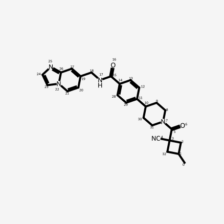 CC1CC(C#N)(C(=O)N2CCC(c3ccc(C(=O)NCc4ccn5ccnc5c4)cc3)CC2)C1